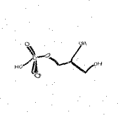 [O]=[Cr](=[O])([OH])[O]CC(O)CO